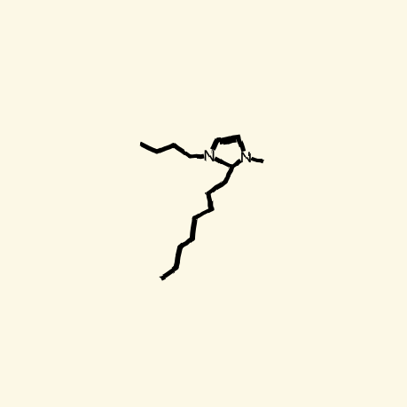 CCCCCCCCC1N(C)C=CN1CCCC